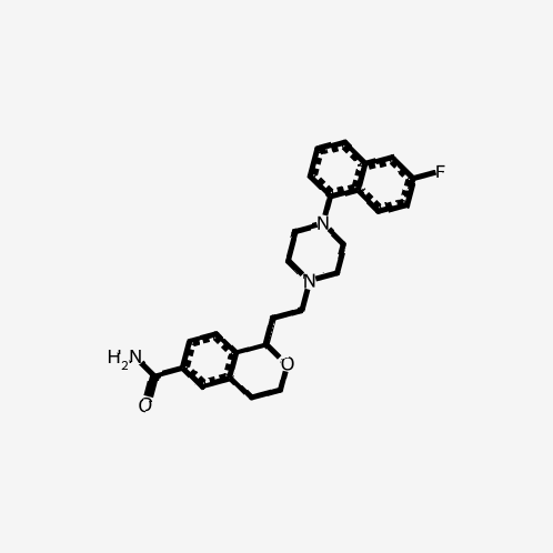 NC(=O)c1ccc2c(c1)CCOC2CCN1CCN(c2cccc3cc(F)ccc23)CC1